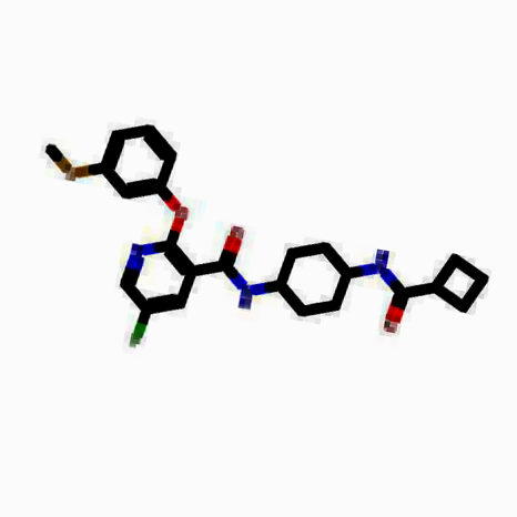 CSc1cccc(Oc2ncc(F)cc2C(=O)NC2CCC(NC(=O)C3CCC3)CC2)c1